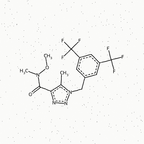 CON(C)C(=O)c1nnn(Cc2cc(C(F)(F)F)cc(C(F)(F)F)c2)c1C